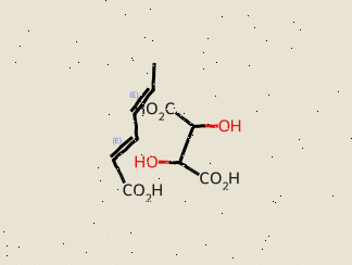 C/C=C/C=C/C(=O)O.O=C(O)C(O)C(O)C(=O)O